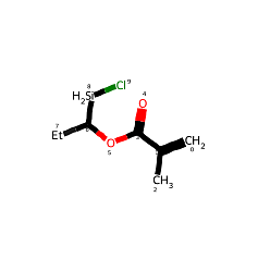 C=C(C)C(=O)OC(CC)[SiH2]Cl